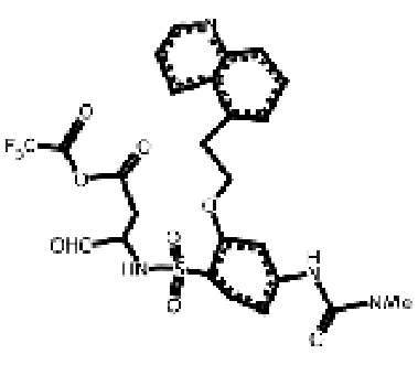 CNC(=O)Nc1ccc(S(=O)(=O)NC(C=O)CC(=O)OC(=O)C(F)(F)F)c(OCCc2cccc3ncccc23)c1